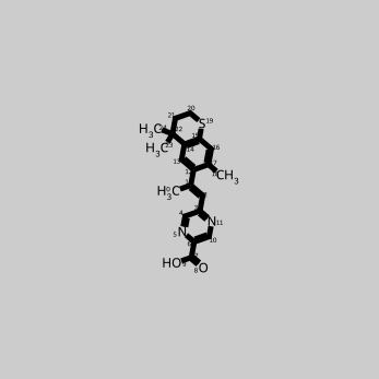 CC(=Cc1cnc(C(=O)O)cn1)c1cc2c(cc1C)SCCC2(C)C